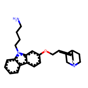 NCCCCn1c2ccccc2c2ccc(OC/C=C3\CN4CCC3CC4)cc21